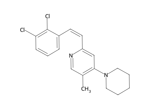 Cc1cnc(/C=C\c2cccc(Cl)c2Cl)cc1N1CCCCC1